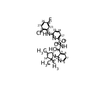 CC1CN(c2ncccc2C(O)NS(=O)(=O)c2cccc(Nc3cc(F)ccc3Cl)n2)C(C)(C)C1